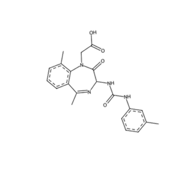 CC1=NC(NC(=O)Nc2cccc(C)c2)C(=O)N(CC(=O)O)c2c(C)cccc21